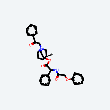 O=C(COc1ccccc1)NC(C(=O)O[C@H]1C[N+]2(CC(=O)c3ccccc3)CCC1CC2)c1ccccc1